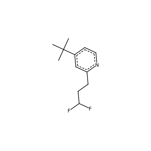 CC(C)(C)c1ccnc(CCC(F)F)c1